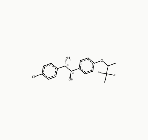 CC(Oc1ccc([C@@H](O)[C@@H](N)c2ccc(Cl)cc2)cc1)C(F)(F)F